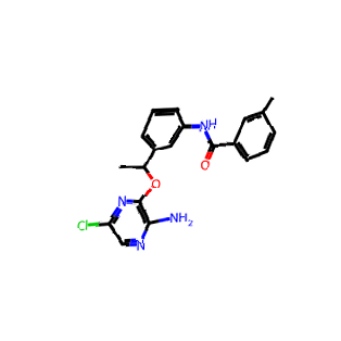 Cc1cccc(C(=O)Nc2cccc(C(C)Oc3nc(Cl)cnc3N)c2)c1